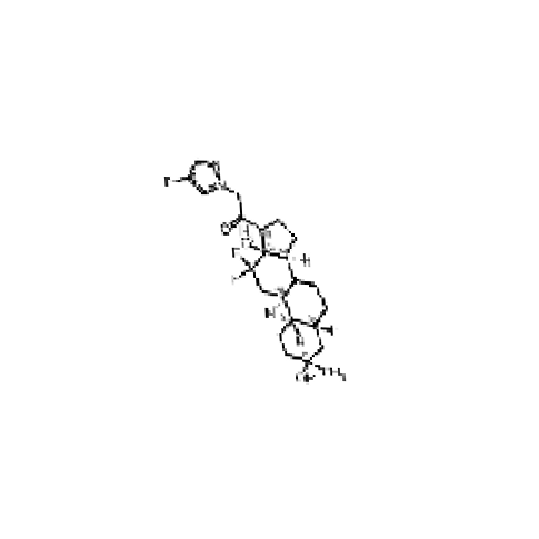 C[C@@]1(O)CC[C@H]2[C@H](CCC3[C@@H]2CC(F)(F)[C@]2(C)[C@@H](C(=O)Cn4cc(F)cn4)CC[C@@H]32)C1